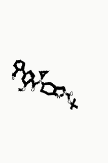 COc1cc(-c2ccccc2C#N)ccc1C(=O)N(C1CC1)C1CCc2nn(C(=O)OC(C)(C)C)cc2C1